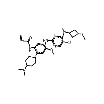 C=CC(=O)Nc1cc(Nc2ncc(Cl)c(N(C)C3CN(SC)C3)n2)c(OC)cc1N1CCC(N(C)C)CC1